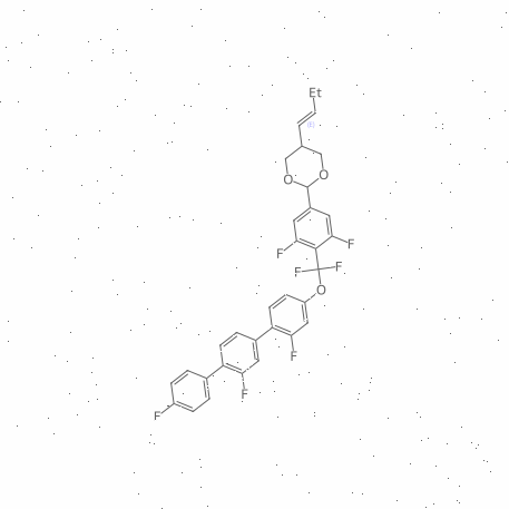 CC/C=C/C1COC(c2cc(F)c(C(F)(F)Oc3ccc(-c4ccc(-c5ccc(F)cc5)c(F)c4)c(F)c3)c(F)c2)OC1